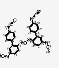 O=C=Nc1ccc(-c2cc(N=C=S)ccc2SOSc2ccc(N=C=S)cc2-c2ccc(N=C=O)cc2)cc1